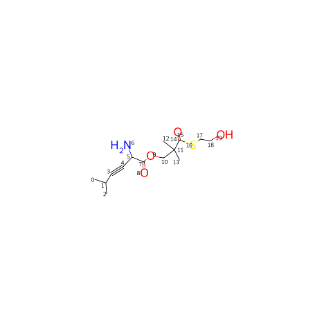 CC(C)C#CC(N)C(=O)OCC(C)(C)C(=O)SCCO